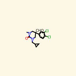 CN1CC(C=O)(c2ccc(Cl)c(Cl)c2)CN(CC2CC2)C1=O